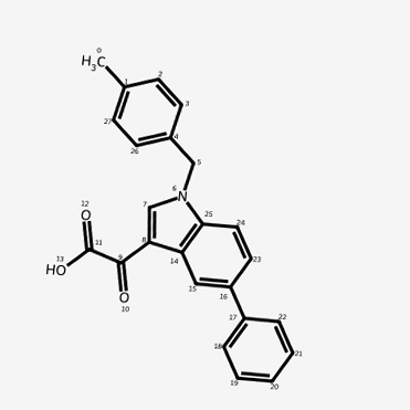 Cc1ccc(Cn2cc(C(=O)C(=O)O)c3cc(-c4ccccc4)ccc32)cc1